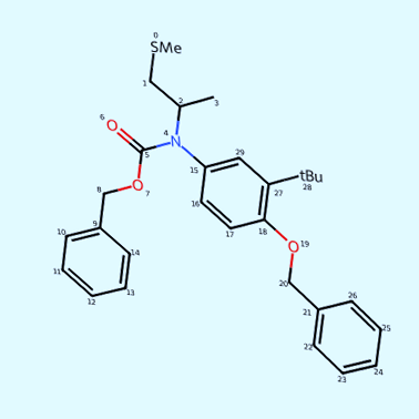 CSCC(C)N(C(=O)OCc1ccccc1)c1ccc(OCc2ccccc2)c(C(C)(C)C)c1